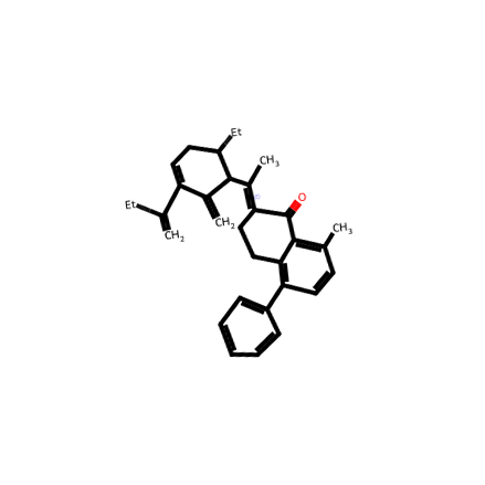 C=C(CC)C1=CCC(CC)C(/C(C)=C2\CCc3c(-c4ccccc4)ccc(C)c3C2=O)C1=C